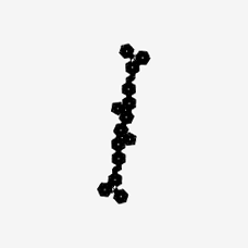 C(=C\c1ccc2c(c1)c1ccccc1n2-c1ccccc1)/c1ccc(-c2ccc3c(c2)C2(CCCC2)c2cc(-c4ccc5c(c4)C4(CCCC4)c4cc(-c6ccc(/C=C/c7ccc8c(c7)c7ccccc7n8-c7ccccc7)cc6)ccc4-5)ccc2-3)cc1